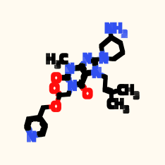 CC(C)=CCn1c(N2CCCC(N)C2)nc2c1c(=O)n(CC(=O)OCc1ccncc1)c(=O)n2C